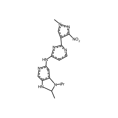 CC(C)N1c2cc(Nc3ccnc(-c4cn(C)nc4[N+](=O)[O-])n3)ncc2NC1C